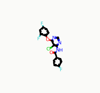 O=C(Nc1ncnc(Oc2ccc(F)cc2F)c1Cl)c1ccc(F)cc1